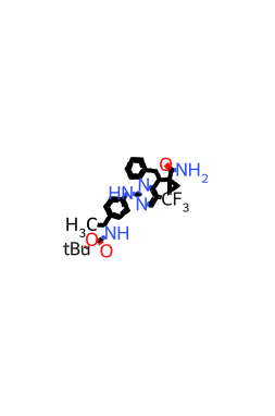 CC(NC(=O)OC(C)(C)C)c1ccc(Nc2ncc(C(F)(F)F)c(C(Cc3ccccc3)C3(C(N)=O)CC3)n2)cc1